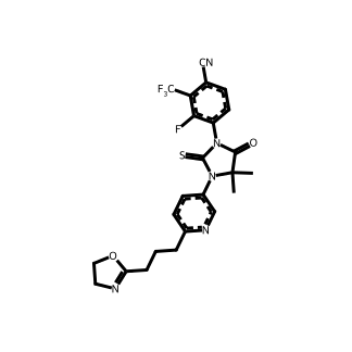 CC1(C)C(=O)N(c2ccc(C#N)c(C(F)(F)F)c2F)C(=S)N1c1ccc(CCCC2=NCCO2)nc1